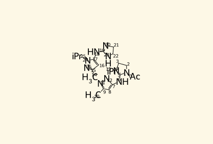 CC(=O)N1CCN=C1Nc1cc(C)nn1C(C)C.Cc1cc(NC2=NCCN2)n(C(C)C)n1